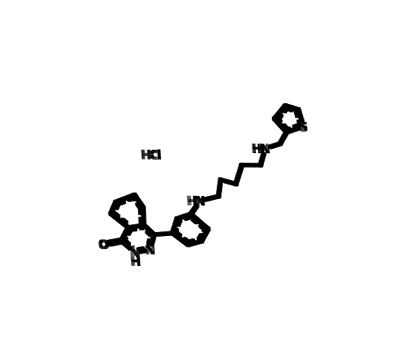 Cl.O=c1[nH]nc(-c2cccc(NCCCCCNCc3cccs3)c2)c2ccccc12